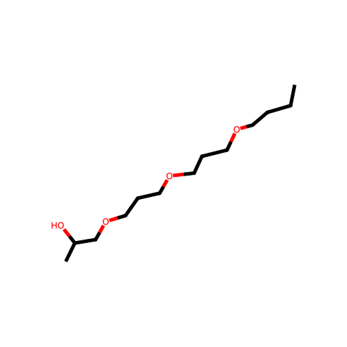 CCCCOCCCOCCCOCC(C)O